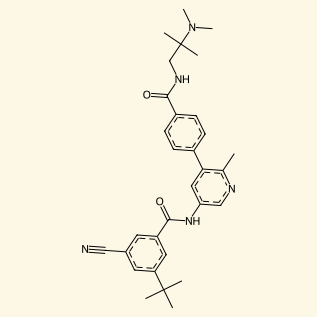 Cc1ncc(NC(=O)c2cc(C#N)cc(C(C)(C)C)c2)cc1-c1ccc(C(=O)NCC(C)(C)N(C)C)cc1